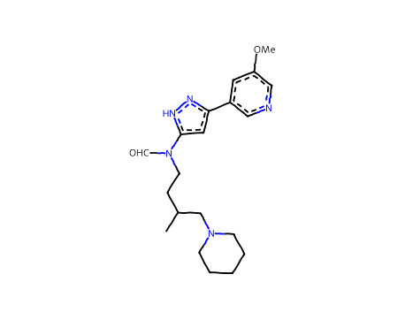 COc1cncc(-c2cc(N(C=O)CCC(C)CN3CCCCC3)[nH]n2)c1